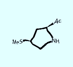 CS[C@@H]1CN[C@H](C(C)=O)C1